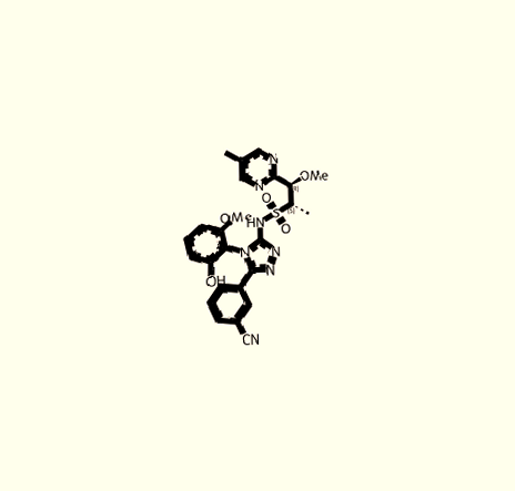 COc1cccc(O)c1-n1c(NS(=O)(=O)[C@@H](C)[C@H](OC)c2ncc(C)cn2)nnc1C1=C=C=CC(C#N)=C1